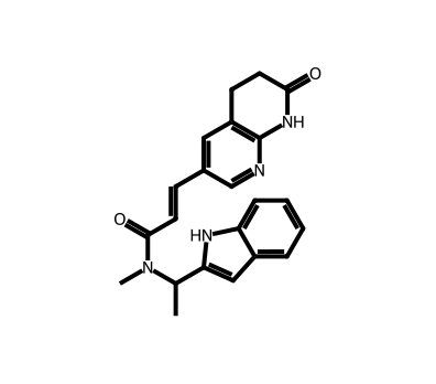 CC(c1cc2ccccc2[nH]1)N(C)C(=O)/C=C/c1cnc2c(c1)CCC(=O)N2